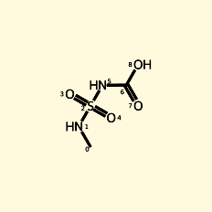 CNS(=O)(=O)NC(=O)O